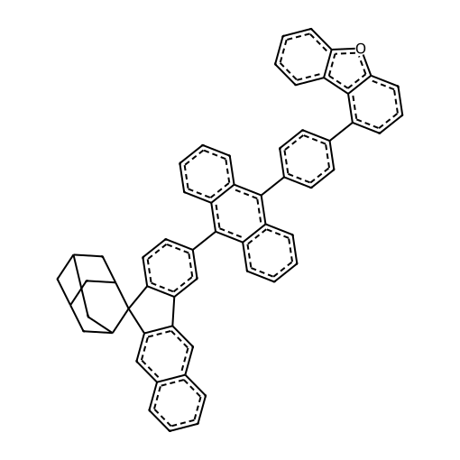 c1ccc2cc3c(cc2c1)-c1cc(-c2c4ccccc4c(-c4ccc(-c5cccc6oc7ccccc7c56)cc4)c4ccccc24)ccc1C31C2CC3CC(C2)CC1C3